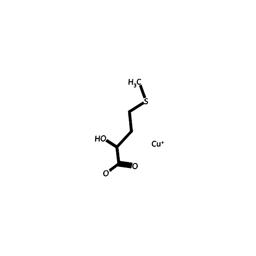 CSCCC(O)C(=O)[O-].[Cu+]